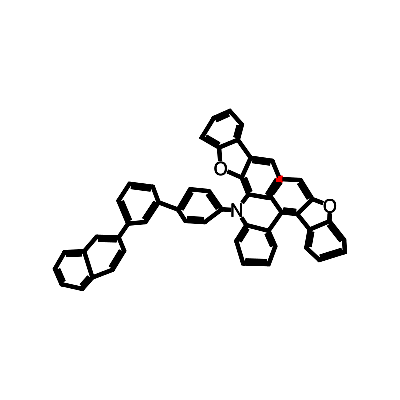 c1cc(-c2ccc(N(c3ccccc3-c3cccc4oc5ccccc5c34)c3cccc4c3oc3ccccc34)cc2)cc(-c2ccc3ccccc3c2)c1